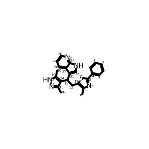 Cc1nc(-c2ccccc2)sc1CC(c1c(C)n[nH]c1C)c1c[nH]c2ncccc12